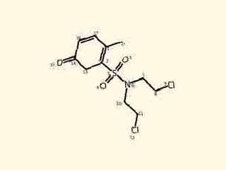 CC1=C(S(=O)(=O)N(CCCl)CCCl)CC(=O)C=C1